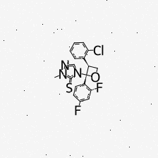 Cn1ncn([C@@]2(c3ccc(F)cc3F)OC[C@@H]2c2ccccc2Cl)c1=S